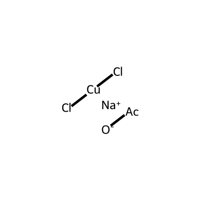 CC(=O)[O-].[Cl][Cu][Cl].[Na+]